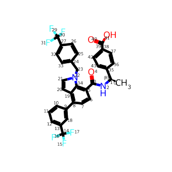 C[C@@H](NC(=O)c1ccc(-c2cccc(C(F)(F)F)c2)c2ccn(Cc3ccc(C(F)(F)F)cc3)c12)c1ccc(C(=O)O)cc1